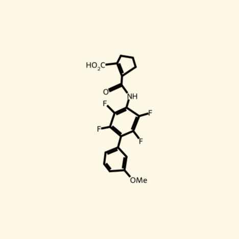 COc1cccc(-c2c(F)c(F)c(NC(=O)C3=C(C(=O)O)CCC3)c(F)c2F)c1